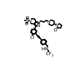 CS(=O)(=O)N1CCc2c(c(-c3ccc(Cl)c(C#Cc4ccc(CNCC(F)(F)F)cc4)c3)nn2CCCN2CCC(N3CCCC3=O)CC2)C1